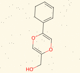 OCC1=COC(C2=CC=CCC2)=CO1